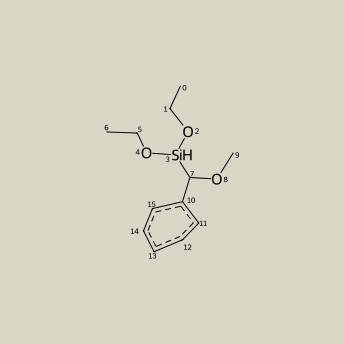 CCO[SiH](OCC)C(OC)c1ccccc1